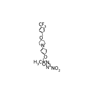 C[C@]1(COc2ccc(N3CCC(OCc4ccc(C(F)(F)F)cc4)CC3)cc2)Cn2cc([N+](=O)[O-])nc2O1